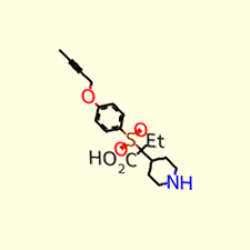 CC#CCOc1ccc(S(=O)(=O)C(CC)(C(=O)O)C2CCNCC2)cc1